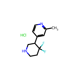 Cc1cc(C2CNCCC2(F)F)ccn1.Cl